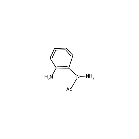 CC(=O)N(N)C1=C(N)C=C=C=C1